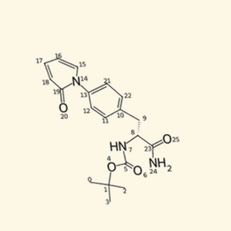 CC(C)(C)OC(=O)N[C@H](Cc1ccc(-n2ccccc2=O)cc1)C(N)=O